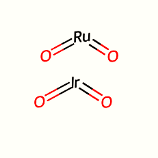 [O]=[Ir]=[O].[O]=[Ru]=[O]